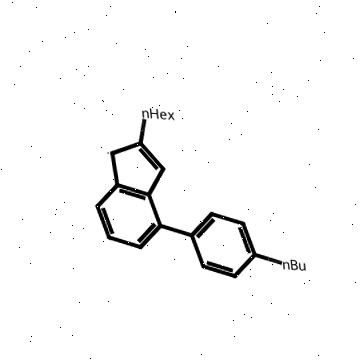 CCCCCCC1=Cc2c(cccc2-c2ccc(CCCC)cc2)[CH]1